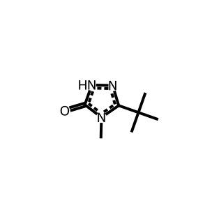 Cn1c(C(C)(C)C)n[nH]c1=O